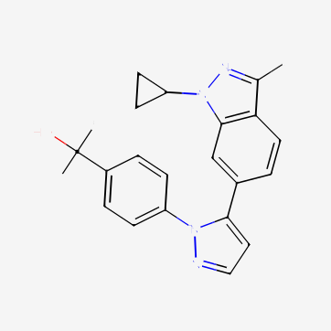 CCc1nn(C2CC2)c2cc(-c3ccnn3-c3ccc(C(C)(C)O)cc3)ccc12